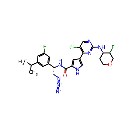 CC(C)c1cc(F)cc([C@@H](CN=[N+]=[N-])NC(=O)c2cc(-c3nc(N[C@@H]4CCOC[C@@H]4F)ncc3Cl)c[nH]2)c1